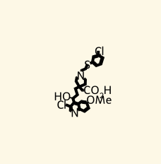 COc1ccc2ncc(Cl)c([C@@H](O)CCC3(CC(=O)O)CCN(CCSc4cccc(Cl)c4)CC3)c2c1